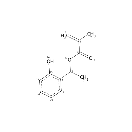 C=C(C)C(=O)OC(C)c1ccccc1O